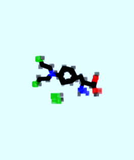 Cl.Cl.N[C@@H](Cc1ccc(N(CCCl)CCCl)cc1)C(=O)O